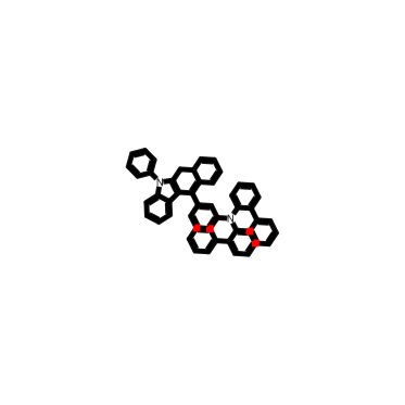 C1=CC2=C(c3cccc(N(c4ccccc4-c4ccccc4)c4ccccc4-c4ccccc4)c3)c3c(n(-c4ccccc4)c4ccccc34)CC2C=C1